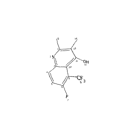 Cc1nc2ccc(F)c(C(F)(F)F)c2c(O)c1C